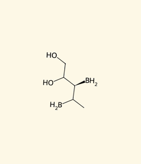 BC(C)[C@H](B)C(O)CO